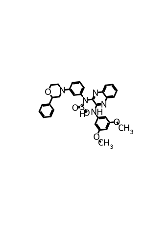 COc1cc(Nc2nc3ccccc3nc2N(c2cccc(N3CCOC(c4ccccc4)C3)c2)[SH](=O)=O)cc(OC)c1